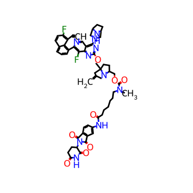 C#Cc1c(F)ccc2cccc(-c3ncc4c(N5CC6CCC(C5)N6)nc(OCC56CCC(COC(=O)N(C)CCCCCCC(=O)Nc7ccc8c(c7)C(=O)N(C7CCC(=O)NC7=O)C8=O)N5CC(=C)C6)nc4c3F)c12